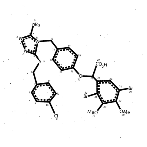 CCCCc1nnc(SCc2ccc(Cl)cc2)n1Cc1ccc(OC(C(=O)O)c2cc(Br)c(OC)c(OC)c2Br)cc1